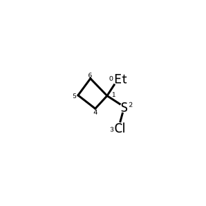 CCC1(SCl)CCC1